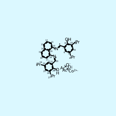 CC(=O)[O-].CC(=O)[O-].CC(C)c1cc(C=Nc2cccc3cccc(N=Cc4cc(C(C)C)cc(C(C)C)c4O)c23)c(O)c(C(C)C)c1.[Co+2]